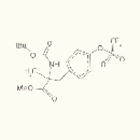 COC(=O)C(C)(Cc1ccc(OS(=O)(=O)C(F)(F)F)cc1)NC(=O)OC(C)(C)C